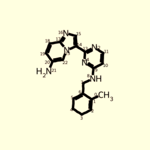 CC1=CCCC=C1CNc1ccnc(-c2cnc3ccc(N)cn23)n1